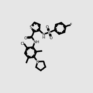 Cc1cc(Cl)c(NC(=O)c2sccc2NS(=O)(=O)c2ccc(F)cc2)c(C)c1N1CCCC1